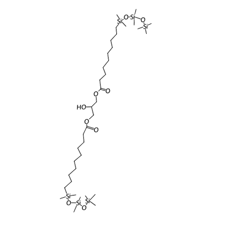 C[Si](C)(C)O[Si](C)(C)O[Si](C)(C)CCCCCCCCCC(=O)OCC(O)COC(=O)CCCCCCCCC[Si](C)(C)O[Si](C)(C)O[Si](C)(C)C